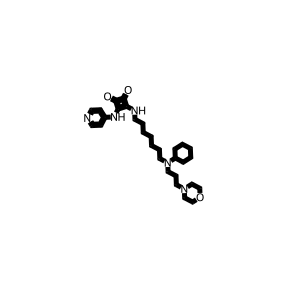 O=c1c(NCCCCCCCN(CCCN2CCOCC2)C2CCCCC2)c(Nc2ccncc2)c1=O